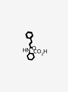 O=C(C=Cc1ccccc1)NC1CCCCC1C(=O)O